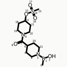 CB(O)N1CCC(C(=O)N2CCC(OS(C)(=O)=O)CC2)CC1